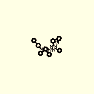 C1=C(c2ccccc2)CCC(n2c3ccccc3c3c4c5ccccc5n(-c5nc(-c6ccccc6)nc(-c6cccc7c6oc6ccccc67)n5)c4ccc32)=C1